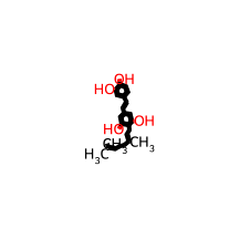 CC(C)=CCC/C(C)=C/Cc1c(O)cc(/C=C/c2ccc(O)c(O)c2)cc1O